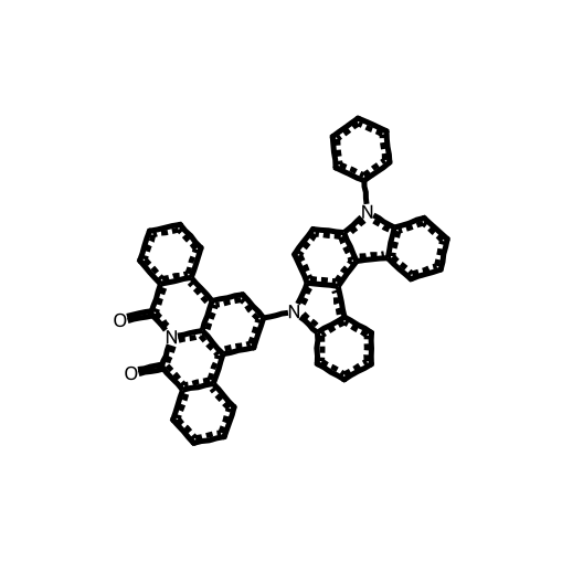 O=c1c2ccccc2c2cc(-n3c4ccccc4c4c5c6ccccc6n(-c6ccccc6)c5ccc43)cc3c4ccccc4c(=O)n1c23